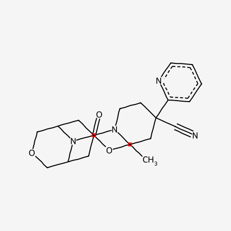 CCOC(=O)N1C2COCC1CC(N1CCC(C#N)(c3ccccn3)CC1)C2